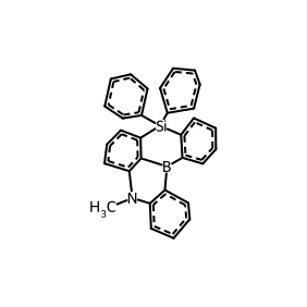 CN1c2ccccc2B2c3ccccc3[Si](c3ccccc3)(c3ccccc3)c3cccc1c32